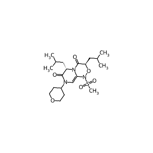 CC(C)C[C@H]1ON(S(C)(=O)=O)C2=CN(C3CCOCC3)C(=O)[C@H](CC(C)C)N2C1=O